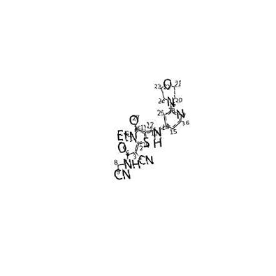 CCn1c(=C(C#N)C(=O)NCC#N)sc(=CNc2ccnc(N3CCOCC3)c2)c1=O